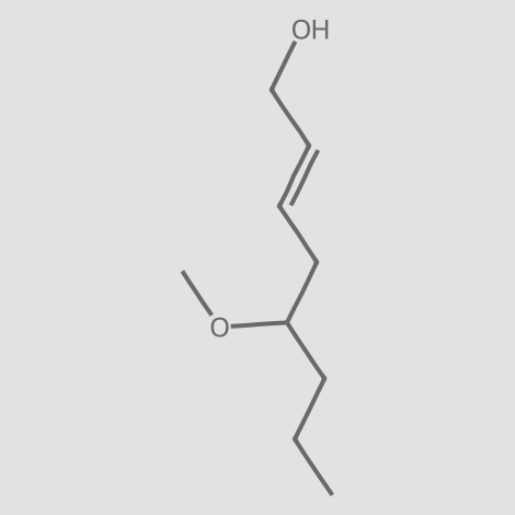 CCCC(CC=CCO)OC